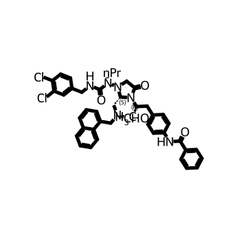 CCCN(C(=O)NCc1ccc(Cl)c(Cl)c1)N1CC(=O)N([C@H](C)Cc2ccc(NC(=O)c3ccccc3)cc2)[C@@H]1CN(C=O)Cc1cccc2ccccc12